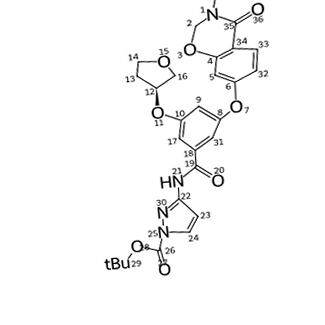 CN1COc2cc(Oc3cc(O[C@H]4CCOC4)cc(C(=O)Nc4ccn(C(=O)OC(C)(C)C)n4)c3)ccc2C1=O